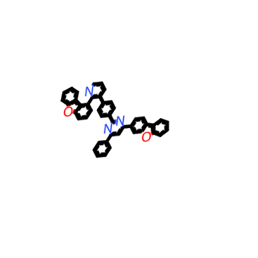 c1ccc(-c2cc(-c3ccc4c(c3)oc3ccccc34)nc(-c3ccc(-c4cccnc4-c4cccc5oc6ccccc6c45)cc3)n2)cc1